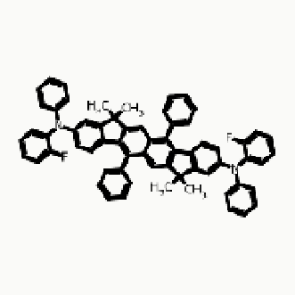 CC1(C)c2cc(N(c3ccccc3)c3ccccc3F)ccc2-c2c1cc1c(-c3ccccc3)c3c(cc1c2-c1ccccc1)C(C)(C)c1cc(N(c2ccccc2)c2ccccc2F)ccc1-3